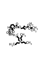 CC(C)(C)OC(=O)N1CC(CONC(=O)[C@@H]2CC[C@@H]3CN2C(=O)N3OS(=O)(=O)O)C1.CCCC[N+](CCCC)(CCCC)CCCC